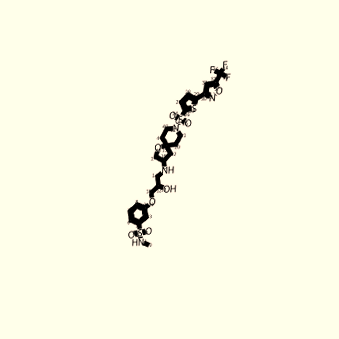 CNS(=O)(=O)c1cccc(OCC(O)CNC2COC3(CCN(S(=O)(=O)c4ccc(-c5cc(C(F)(F)F)on5)s4)CC3)C2)c1